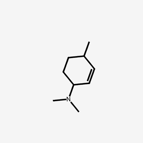 CC1C=CC(N(C)C)CC1